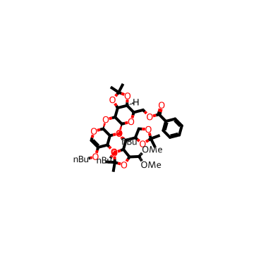 CCCCOC1=CO[C@@H](OC2C3OC(C)(C)O[C@H]3C(COC(=O)c3ccccc3)O[C@H]2O[C@H](C2COC(C)(C)O2)C2OC(C)(C)OC2C(OC)OC)C(OCCCC)C1OCCCC